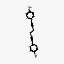 CCCc1ccc(C#CCCC#Cc2ccc(CC)cc2)cc1